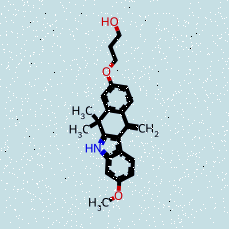 C=C1c2ccc(OCCCO)cc2C(C)(C)c2[nH]c3cc(OC)ccc3c21